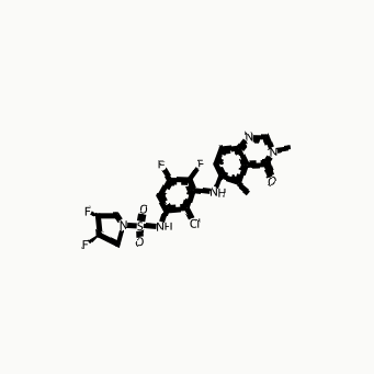 Cc1c(Nc2c(F)c(F)cc(NS(=O)(=O)N3C[C@@H](F)[C@@H](F)C3)c2Cl)ccc2ncn(C)c(=O)c12